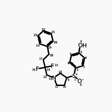 [O-][S+](c1ccc(O)cc1)C1CCN(CC(F)(F)CCc2ccccc2)C1